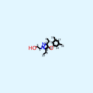 CCc1nn(CCO)c(CC)c1Oc1cc(C)cc(C)c1